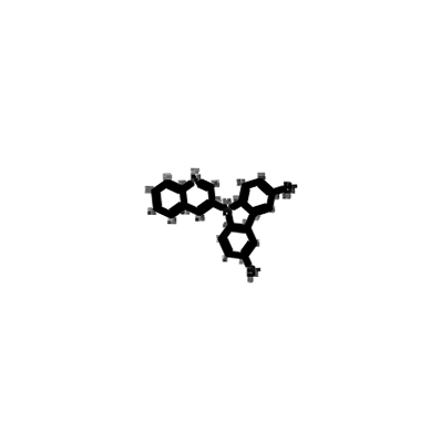 Brc1ccc2c(c1)c1cc(Br)ccc1n2-c1cnc2ccccc2c1